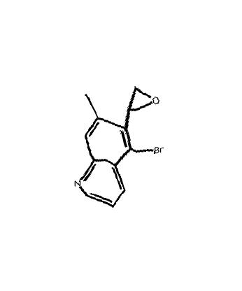 Cc1cc2ncccc2c(Br)c1C1CO1